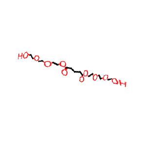 O=C(CCCC(=O)OCCOCCOCCO)OCCOCCOCCO